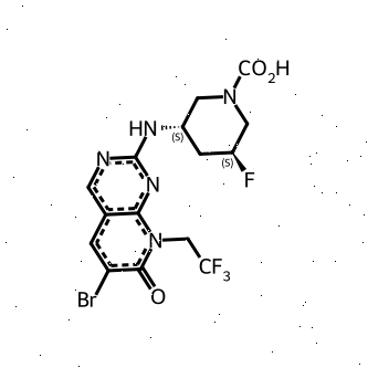 O=C(O)N1C[C@@H](F)C[C@H](Nc2ncc3cc(Br)c(=O)n(CC(F)(F)F)c3n2)C1